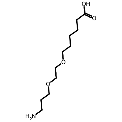 NCCCOCCOCCCCCC(=O)O